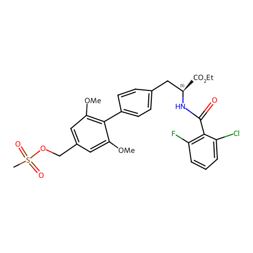 CCOC(=O)[C@H](Cc1ccc(-c2c(OC)cc(COS(C)(=O)=O)cc2OC)cc1)NC(=O)c1c(F)cccc1Cl